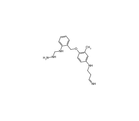 Cc1cc(NCCC=N)ccc1OCc1ccccc1NCNN